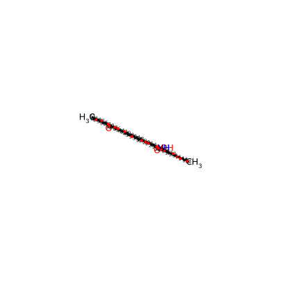 CCCCCCCCCCCCCCCCC(O)CNC(=O)CCCCCCCCCCCCCCCCCCCCCCCCCCCCCC(=O)CCCCCCCCCCC